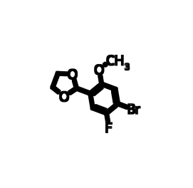 COc1cc(Br)c(F)cc1C1OCCO1